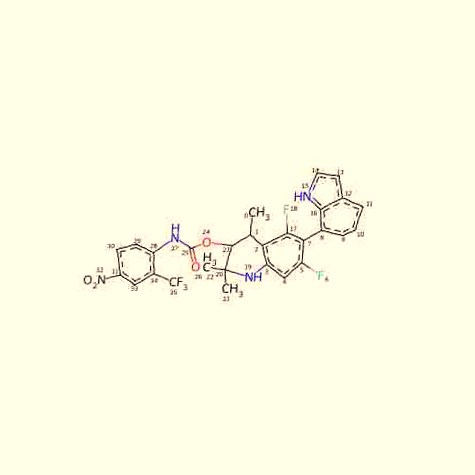 CC1c2c(cc(F)c(-c3cccc4cc[nH]c34)c2F)NC(C)(C)C1OC(=O)Nc1ccc([N+](=O)[O-])cc1C(F)(F)F